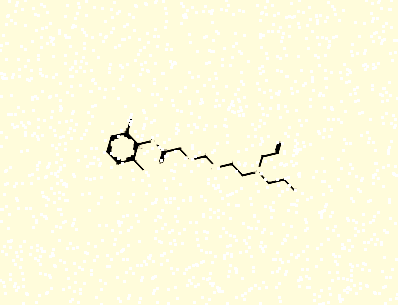 CCCN(CC=O)CCSCNCC(=O)Nc1c(C)cccc1C